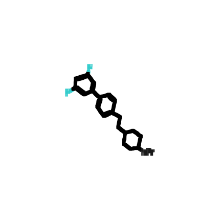 CCCC1CCC(CCc2ccc(-c3cc(F)cc(F)c3)cc2)CC1